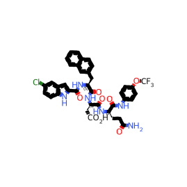 NC(=O)CC[C@H](NC(=O)[C@H](CC(=O)O)NC(=O)[C@H](Cc1ccc2ccccc2c1)NC(=O)c1cc2cc(Cl)ccc2[nH]1)C(=O)Nc1ccc(OC(F)(F)F)cc1